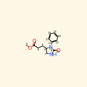 COC(=O)CCC1CNC(=O)N1c1ccccc1